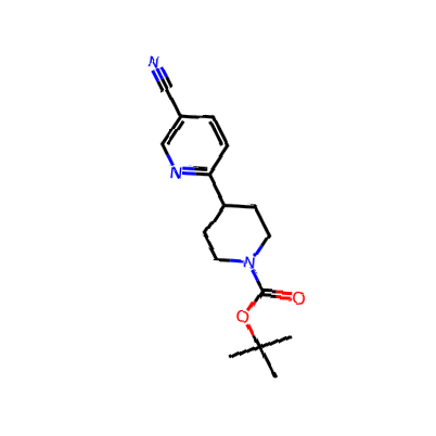 CC(C)(C)OC(=O)N1CCC(c2ccc(C#N)cn2)CC1